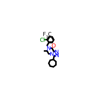 CC1Cn2c(nnc2C2CCCCCC2)C(=O)N1Cc1cccc(C(F)(F)F)c1Cl